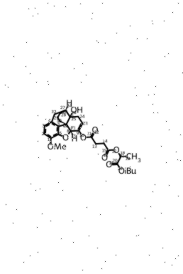 COc1ccc2c3c1O[C@H]1C(OC(=O)CCC(=O)O[C@@H](C)C(=O)OCC(C)C)=CC[C@@]4(O)[C@H](CCC[C@]314)C2